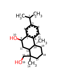 CC(C)c1ccc2c(c1)C(O)CC1[C@@](C)(CO)CCC[C@]21C